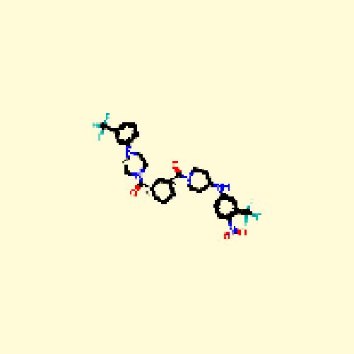 O=C([C@@H]1CCC[C@H](C(=O)N2CCC(Nc3ccc([N+](=O)[O-])c(C(F)(F)F)c3)CC2)C1)N1CCN(c2cccc(C(F)(F)F)c2)CC1